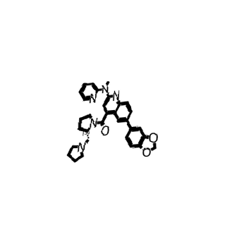 CN(c1ccccn1)c1cc(C(=O)N2CCC[C@H]2CN2CCCC2)c2cc(-c3ccc4c(c3)OCO4)ccc2n1